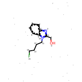 OCc1nc2ccccc2n1CCCCF